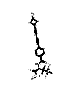 CC(C)([C@H](NC(=O)c1ccc(C#CC#CC2CC(O)C2)cc1)C(=O)NO)S(C)(=O)=O